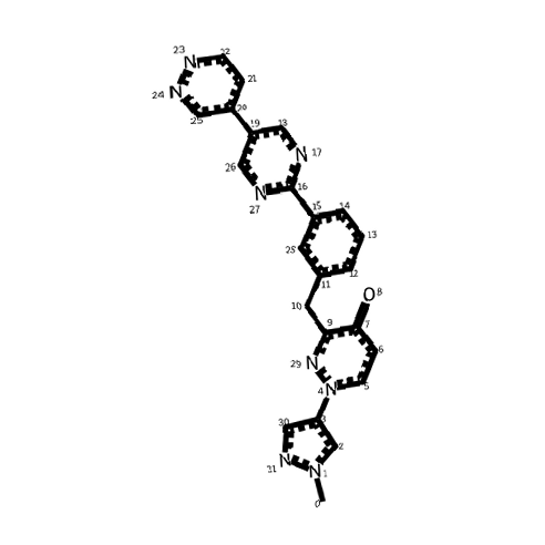 Cn1cc(-n2ccc(=O)c(Cc3cccc(-c4ncc(-c5ccnnc5)cn4)c3)n2)cn1